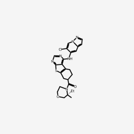 CC[C@]1(C)COCCN1C(=O)C1CCc2c(sc3ncnc(Nc4cc5ccnn5cc4Cl)c23)C1